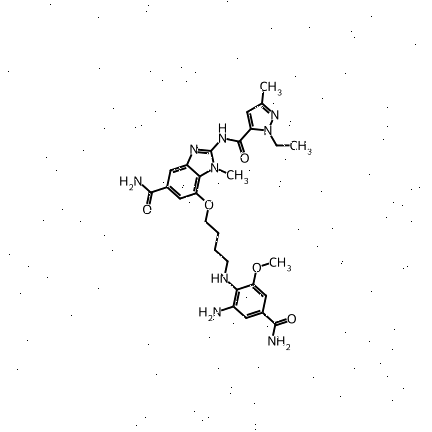 CCn1nc(C)cc1C(=O)Nc1nc2cc(C(N)=O)cc(OCCCCNc3c(N)cc(C(N)=O)cc3OC)c2n1C